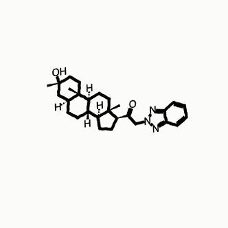 C[C@@]1(O)CC[C@@]2(C)[C@@H](CC[C@@H]3[C@@H]2CC[C@]2(C)[C@@H](C(=O)Cn4nc5ccccc5n4)CC[C@@H]32)C1